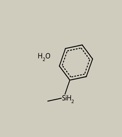 C[SiH2]c1ccccc1.O